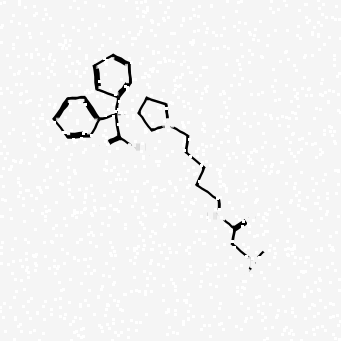 CN(C)CC(=O)NCCCCCN1CC[C@@H](C(C(N)=O)(c2ccccc2)c2ccccc2)C1